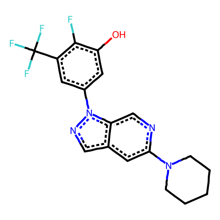 Oc1cc(-n2ncc3cc(N4CCCCC4)ncc32)cc(C(F)(F)F)c1F